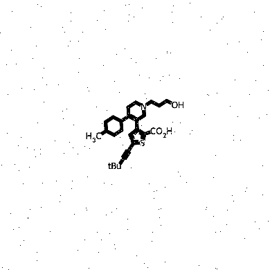 CC1CCC(C2=C(c3cc(C#CC(C)(C)C)sc3C(=O)O)CN(CCCO)CC2)CC1